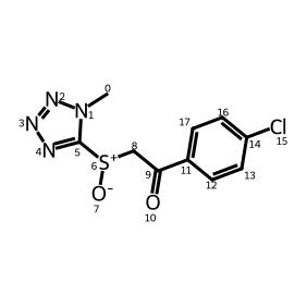 Cn1nnnc1[S+]([O-])CC(=O)c1ccc(Cl)cc1